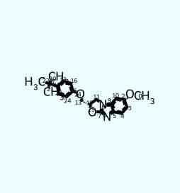 COc1ccc2nc3n(c2c1)C[C@@H](COc1ccc(C(C)(C)C)cc1)O3